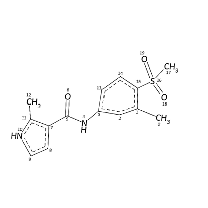 Cc1cc(NC(=O)c2cc[nH]c2C)ccc1S(C)(=O)=O